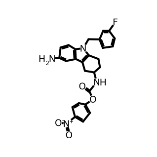 Nc1ccc2c(c1)c1c(n2Cc2cccc(F)c2)CCC(NC(=O)Oc2ccc([N+](=O)[O-])cc2)C1